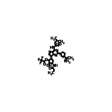 CCC(=O)NC1C[C@@H](n2cnc3c(N[C@H](CO)CC(C)C)nc(N4CC[C@@H](N(C)C)C4)nc32)[C@H](OC(=O)C(F)(F)F)[C@@H]1O